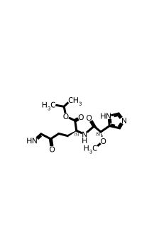 CO[C@H](C(=O)N[C@@H](CCC(=O)C=N)C(=O)OC(C)C)c1cnc[nH]1